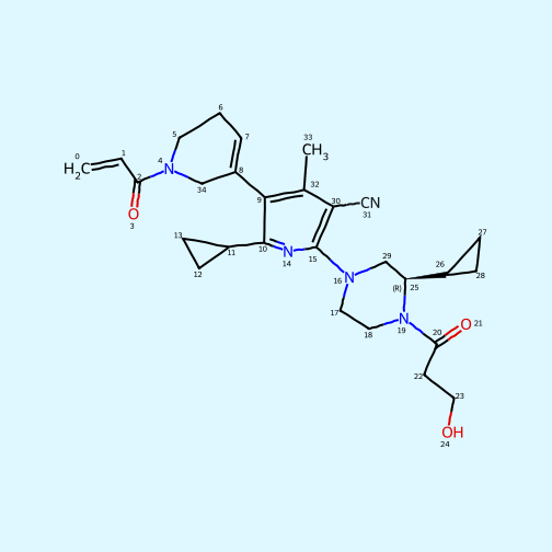 C=CC(=O)N1CCC=C(c2c(C3CC3)nc(N3CCN(C(=O)CCO)[C@H](C4CC4)C3)c(C#N)c2C)C1